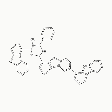 CN1C(c2ccccc2)NC(c2cccc3c2sc2ccc(-c4cccc5c4oc4ccccc45)cc23)NC1c1cccc2oc3ccccc3c12